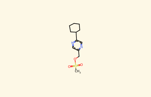 CS(=O)(=O)OCc1cnc(C2CCCCC2)cn1